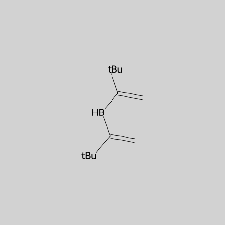 C=C(BC(=C)C(C)(C)C)C(C)(C)C